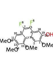 COc1ccc(/C(F)=C(/F)c2cc(OC)c(OC)c(OC)c2)cc1O